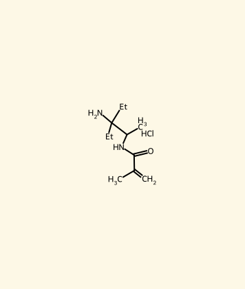 C=C(C)C(=O)NC(C)C(N)(CC)CC.Cl